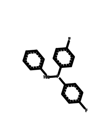 Fc1ccc(P(Nc2ccccc2)c2ccc(F)cc2)cc1